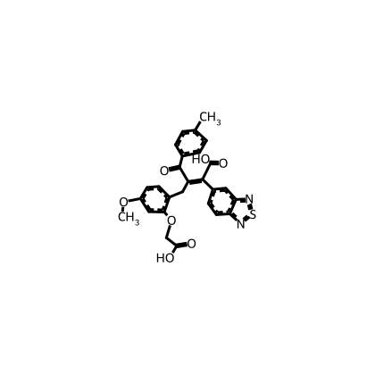 COc1ccc(CC(C(=O)c2ccc(C)cc2)=C(C(=O)O)c2ccc3nsnc3c2)c(OCC(=O)O)c1